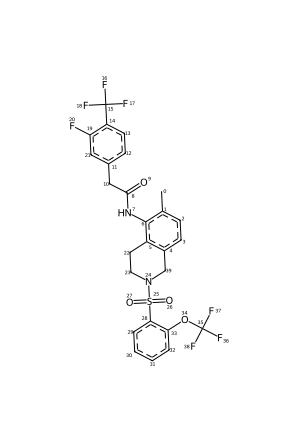 Cc1ccc2c(c1NC(=O)Cc1ccc(C(F)(F)F)c(F)c1)CCN(S(=O)(=O)c1ccccc1OC(F)(F)F)C2